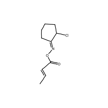 C/C=C/C(=O)ON=C1CCCCC1Cl